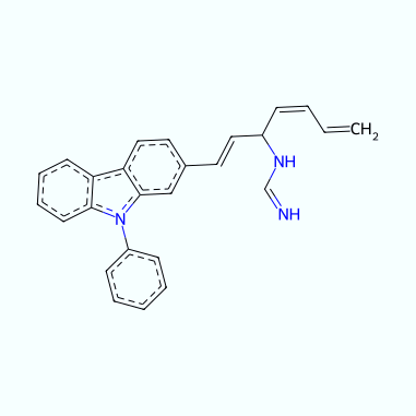 C=C/C=C\C(/C=C/c1ccc2c3ccccc3n(-c3ccccc3)c2c1)NC=N